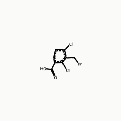 O=C(O)c1ccc(Cl)c(CBr)c1Cl